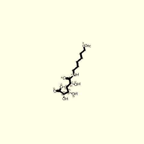 CCCCCCCCCCCCCCCCNC(=O)[C@H](O)[C@H]1OC(=O)[C@@H](O)[C@H]1O